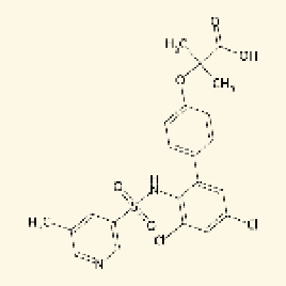 Cc1cncc(S(=O)(=O)Nc2c(Cl)cc(Cl)cc2-c2ccc(OC(C)(C)C(=O)O)cc2)c1